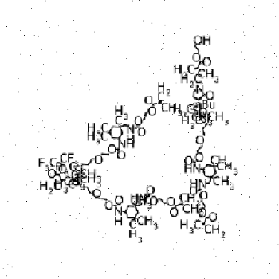 C=C(C)C(=O)OC(C(F)(F)F)C(F)(F)F.C=C(C)C(=O)OCCO.C=C(C)C(=O)OCCOC(=O)NCC1(C)CC(NC(=O)OCCOCCC[Si](C)(C)O[Si](C)(C)CCCC)CC(C)(C)C1.C=C(C)C(=O)OCCOC(=O)NCC1(C)CC(NC(=O)OCCOCCC[Si](C)(C)O[Si](C)(C)CCCOCCOC(=O)NC2CC(C)(C)CC(C)(CNC(=O)OCCOC(=O)C(=C)C)C2)CC(C)(C)C1.C=CN1CCCC1=O